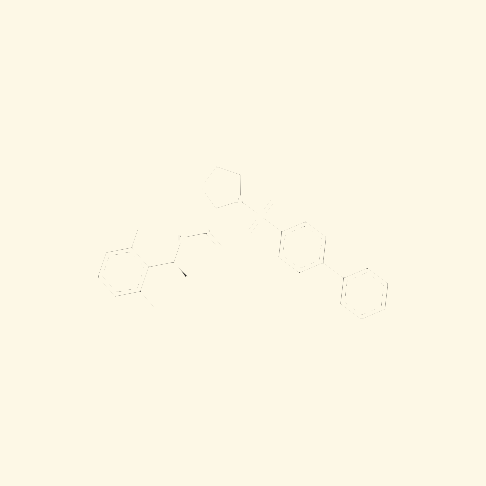 [CH2]C[C@H](NC(=O)[C@@H]1SCCN1S(=O)(=O)c1ccc(-c2ccccc2)cc1)c1c(F)cccc1F